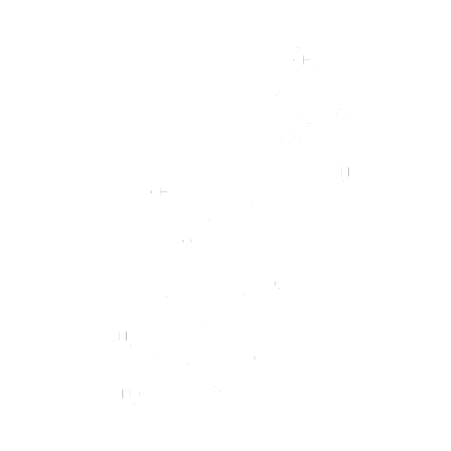 C=CC(=O)OC(C)OCC(CC)(COC(C)OC(=O)C=C)COC(C)OC(=O)C=C